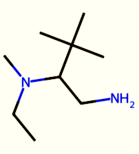 CCN(C)C(CN)C(C)(C)C